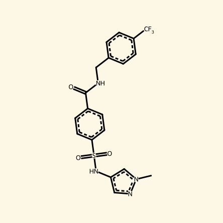 Cn1cc(NS(=O)(=O)c2ccc(C(=O)NCc3ccc(C(F)(F)F)cc3)cc2)cn1